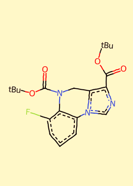 CC(C)(C)OC(=O)c1ncn2c1CN(C(=O)OC(C)(C)C)c1c(F)cccc1-2